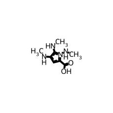 CNc1cc(C(=O)O)n(NC)c1NC